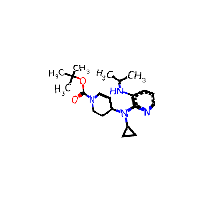 CC(C)Nc1cccnc1N(C1CC1)C1CCN(C(=O)OC(C)(C)C)CC1